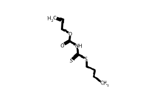 C=CCOC(=O)NC(=S)SCCCC